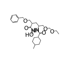 CCOCOCC(CC(COCc1ccccc1)C(=O)NO)NC(=O)C1CCC(C)CC1